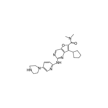 CN(C)C(=O)c1oc2cnc(Nc3ccc(N4CCNCC4)cn3)nc2c1C1CCCC1